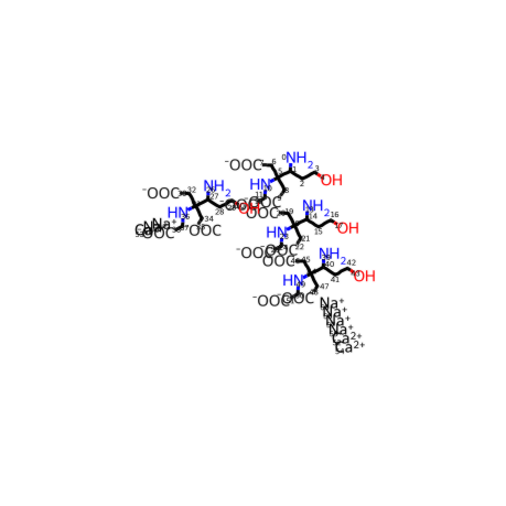 NC(CCO)C(CC(=O)[O-])(CC(=O)[O-])NCC(=O)[O-].NC(CCO)C(CC(=O)[O-])(CC(=O)[O-])NCC(=O)[O-].NC(CCO)C(CC(=O)[O-])(CC(=O)[O-])NCC(=O)[O-].NC(CCO)C(CC(=O)[O-])(CC(=O)[O-])NCC(=O)[O-].[Ca+2].[Ca+2].[Ca+2].[Na+].[Na+].[Na+].[Na+].[Na+].[Na+]